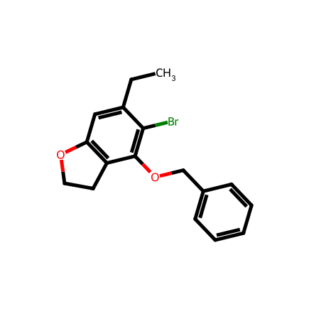 CCc1cc2c(c(OCc3ccccc3)c1Br)CCO2